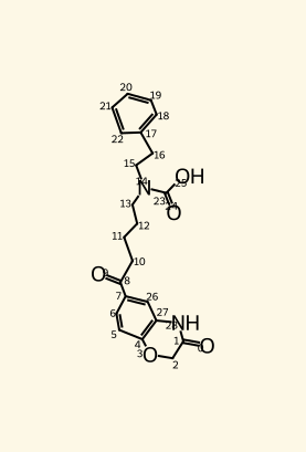 O=C1COc2ccc(C(=O)CCCCN(CCc3ccccc3)C(=O)O)cc2N1